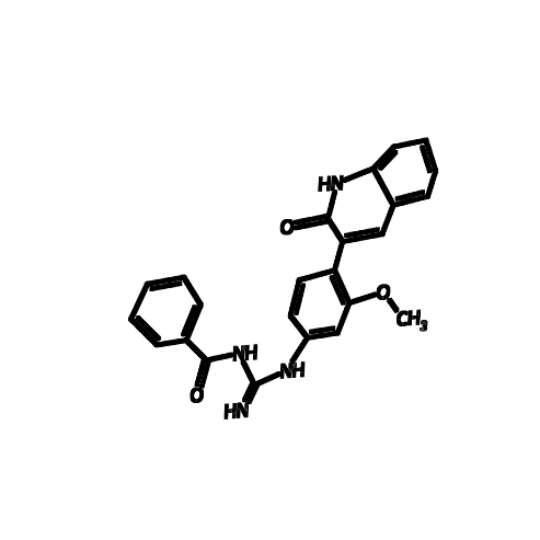 COc1cc(NC(=N)NC(=O)c2ccccc2)ccc1-c1cc2ccccc2[nH]c1=O